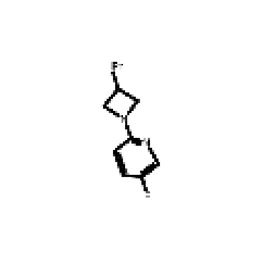 CC(C)C1CN(c2ccc(F)cn2)C1